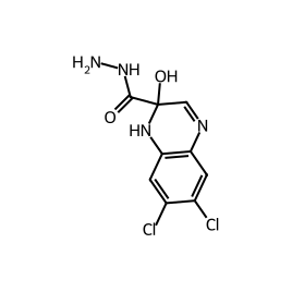 NNC(=O)C1(O)C=Nc2cc(Cl)c(Cl)cc2N1